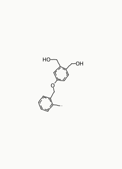 [CH2]c1ccccc1COc1ccc(CO)c(CO)c1